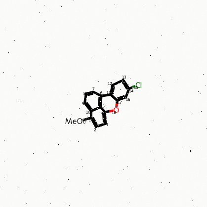 COc1ccc2c3c(cccc13)-c1ccc(Cl)cc1O2